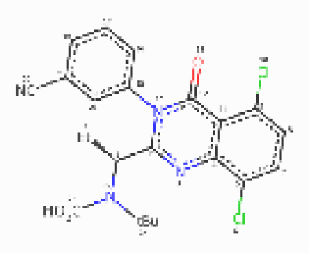 CC[C@@H](c1nc2c(Cl)ccc(Cl)c2c(=O)n1-c1cccc(C#N)c1)N(C(=O)O)C(C)(C)C